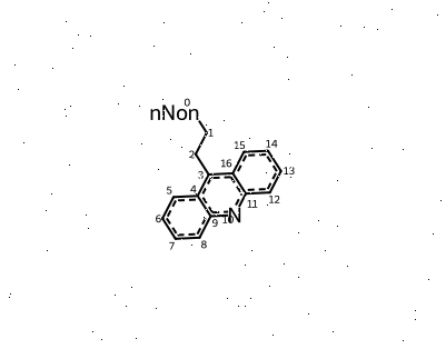 CCCCCCCCCCCc1c2ccccc2nc2ccccc12